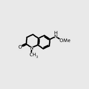 CONc1ccc2c(c1)CCC(=O)N2C